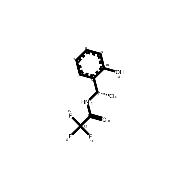 O=C(N[C@@H](Cl)c1ccccc1O)C(F)(F)F